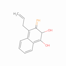 C=CCC1=c2ccccc2=C(O)C(O)C1=P